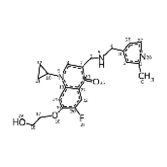 Cc1cc(CNCc2cn(C3CC3)c3cc(OCCO)c(F)cc3c2=O)ccn1